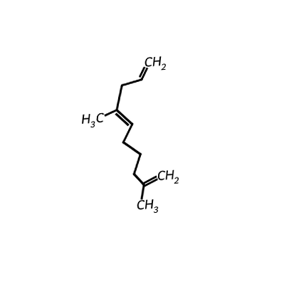 C=CCC(C)=CCCCC(=C)C